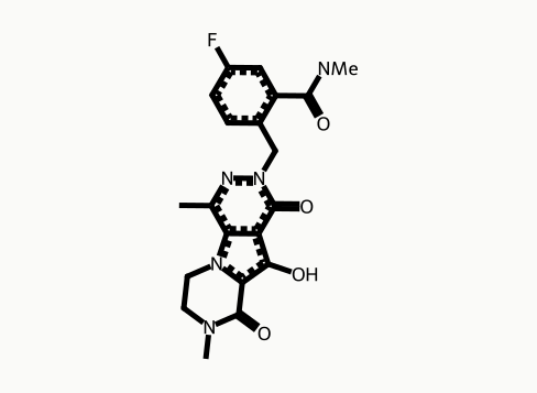 CNC(=O)c1cc(F)ccc1Cn1nc(C)c2c(c(O)c3n2CCN(C)C3=O)c1=O